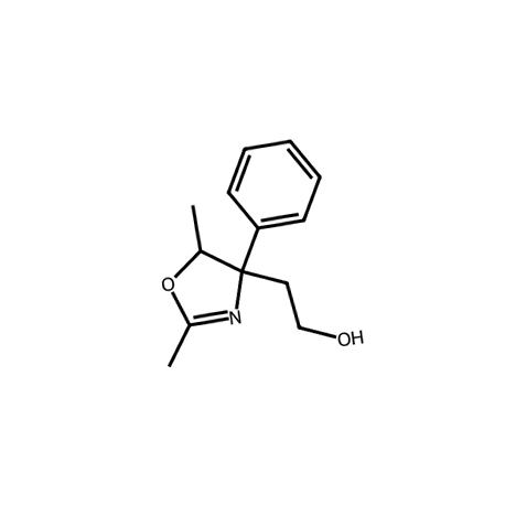 CC1=NC(CCO)(c2ccccc2)C(C)O1